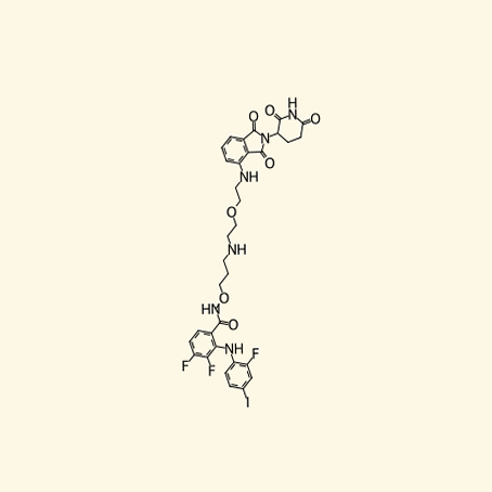 O=C1CCC(N2C(=O)c3cccc(NCCOCCNCCCONC(=O)c4ccc(F)c(F)c4Nc4ccc(I)cc4F)c3C2=O)C(=O)N1